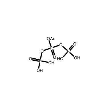 CC(=O)OP(=O)(OP(=O)(O)O)OP(=O)(O)O